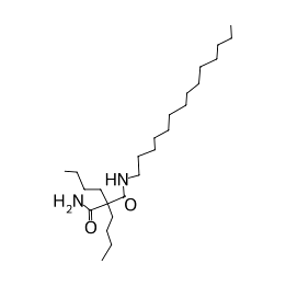 CCCCCCCCCCCCCCNC(=O)C(CCCC)(CCCC)C(N)=O